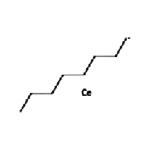 [CH2]CCCCCCC.[Ce]